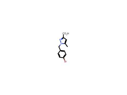 Cc1cc(C(=O)O)nn1Cc1ccc(Br)cc1